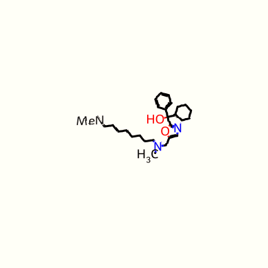 CNCCCCCCCCN(C)Cc1cnc([C@](O)(c2ccccc2)C2CCCCC2)o1